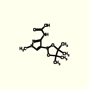 Cn1cc(B2OC(C)(C)C(C)(C)O2)c(NC(=O)O)n1